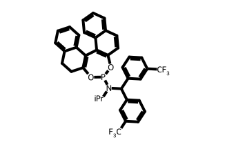 CC(C)N(C(c1cccc(C(F)(F)F)c1)c1cccc(C(F)(F)F)c1)p1oc2c(c3c(ccc4ccccc43)o1)-c1ccccc1CC2